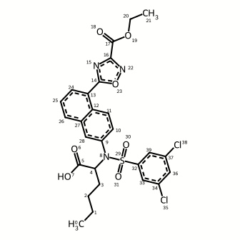 CCCCC(C(=O)O)N(c1ccc2c(-c3nc(C(=O)OCC)no3)cccc2c1)S(=O)(=O)c1cc(Cl)cc(Cl)c1